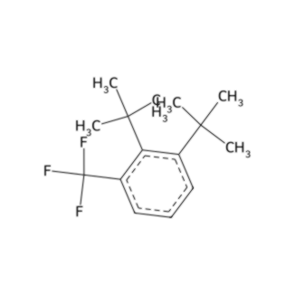 CC(C)(C)c1cccc(C(F)(F)F)c1C(C)(C)C